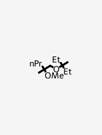 CCCC(C)(COC(C)(CC)CC)OC